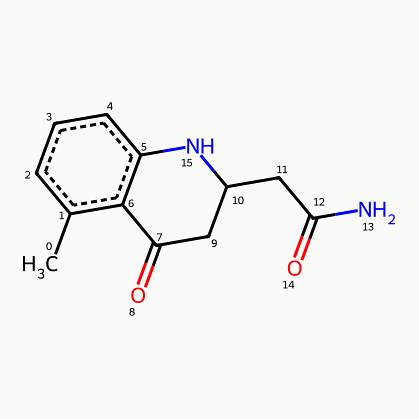 Cc1cccc2c1C(=O)CC(CC(N)=O)N2